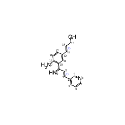 N=C(/C=C/c1cccnc1)c1cc(/C=C/CO)ccc1N